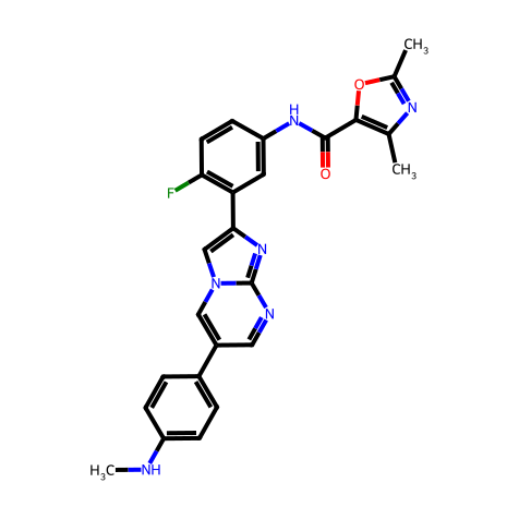 CNc1ccc(-c2cnc3nc(-c4cc(NC(=O)c5oc(C)nc5C)ccc4F)cn3c2)cc1